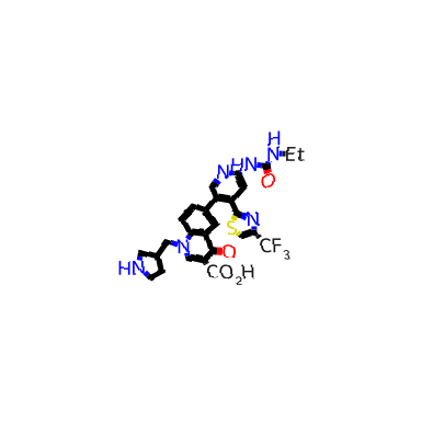 CCNC(=O)Nc1cc(-c2nc(C(F)(F)F)cs2)c(-c2ccc3c(c2)c(=O)c(C(=O)O)cn3CC2CCNC2)cn1